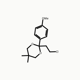 COc1ccc(C2(CCCl)OCC(C)(C)CO2)cc1